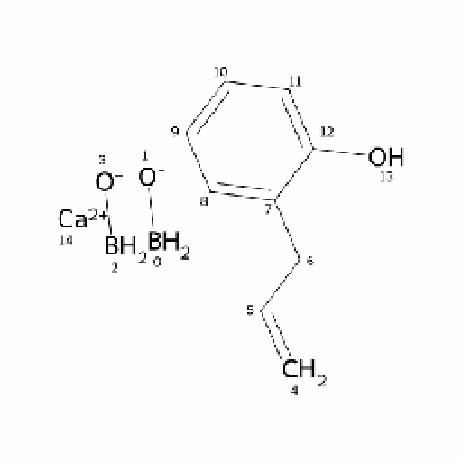 B[O-].B[O-].C=CCc1ccccc1O.[Ca+2]